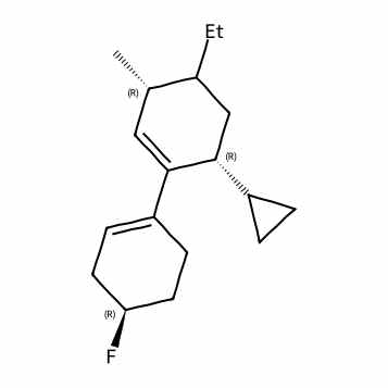 CCC1C[C@H](C2CC2)C(C2=CC[C@H](F)CC2)=C[C@@H]1C